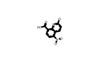 O=C(O)c1ccc([N+](=O)[O-])c2ccc(Cl)nc12